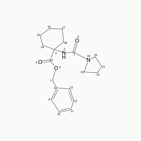 O=C(NC1(C(=O)OCc2ccccc2)CCCCC1)N1CCCC1